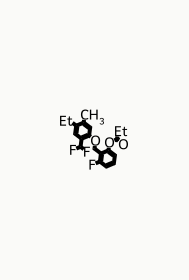 CCC(=O)Oc1cccc(F)c1COc1cc(C)c(CC)cc1C(F)F